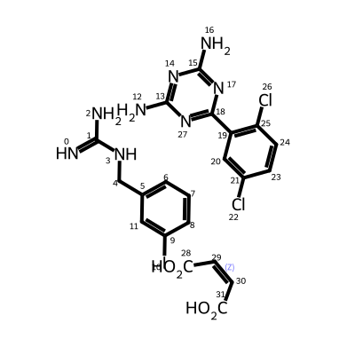 N=C(N)NCc1cccc(I)c1.Nc1nc(N)nc(-c2cc(Cl)ccc2Cl)n1.O=C(O)/C=C\C(=O)O